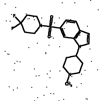 CN1CCC(n2ccc3ccc(S(=O)(=O)N4CCC(F)(F)CC4)cc32)CC1